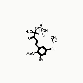 CCCC.COc1c(/C=C/C(=O)C(C)(C)O[PH](=O)O)cc(C(C)(C)C)cc1C(C)(C)C